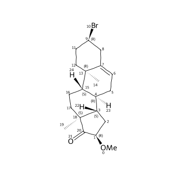 CO[C@@H]1C[C@H]2[C@@H]3CC=C4C[C@H](Br)CC[C@]4(C)[C@H]3CC[C@]2(C)C1=O